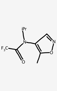 Cc1oncc1N(C(=O)C(F)(F)F)C(C)C